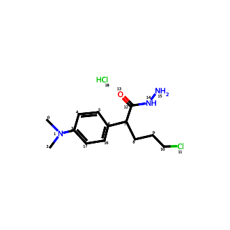 CN(C)c1ccc(C(CCCCl)C(=O)NN)cc1.Cl